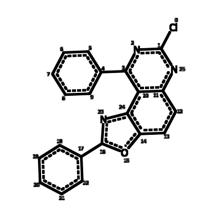 Clc1nc(-c2ccccc2)c2c(ccc3oc(-c4ccccc4)nc32)n1